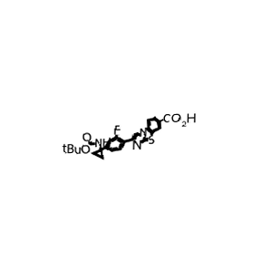 CC(C)(C)OC(=O)NC1(c2ccc(-c3cn4c(n3)sc3cc(C(=O)O)ccc34)c(F)c2)CC1